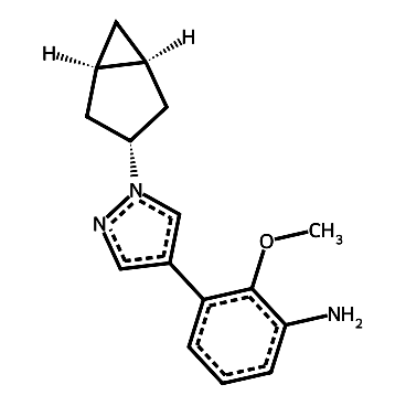 COc1c(N)cccc1-c1cnn([C@@H]2C[C@H]3C[C@H]3C2)c1